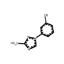 N#Cc1cccc(-n2cnc(C(=O)O)n2)c1